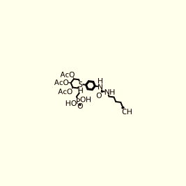 C#CCCCCNC(=O)Nc1ccc([SH]2C[C@@H](OC(C)=O)[C@H](OC(C)=O)[C@@H](OC(C)=O)[C@H]2CCP(=O)(O)O)cc1